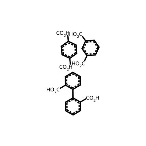 O=C(O)c1ccc(C(=O)O)cc1.O=C(O)c1cccc(C(=O)O)c1.O=C(O)c1ccccc1-c1ccccc1C(=O)O